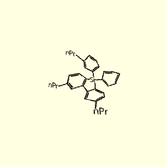 CCCc1cccc([Si]2(c3ccccc3)c3ccc(CCC)cc3-c3cc(CCC)ccc32)c1